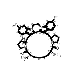 N[C@H]1CCCC[C@H](N)C(=O)N2CCC[C@H]2Cc2c3n(c4cc(F)ccc24)CCn2c-3c(c3ccc(F)cc32)CC2CCCN2C1=O